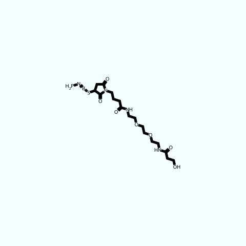 O=C(CCO)NCCOCCOCCNC(=O)CCCN1C(=O)CC(S/B=N/P)C1=O